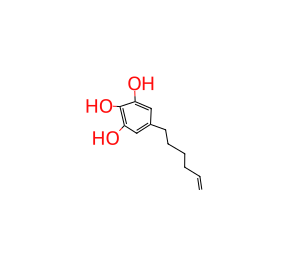 C=CCCCCc1cc(O)c(O)c(O)c1